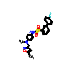 Cc1cc(CN(C)c2ccc(NS(=O)(=O)c3cccc(-c4ccc(F)cc4)c3)cc2)no1